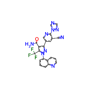 N#Cc1cc(-c2nn(-c3cccc4ncccc34)c(C(F)(F)F)c2C(N)=O)cnc1-n1cncn1